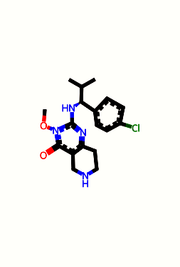 COn1c(N[C@H](c2ccc(Cl)cc2)C(C)C)nc2c(c1=O)CNCC2